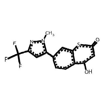 Cn1nc(C(F)(F)F)cc1-c1ccc2c(O)cc(=O)sc2c1